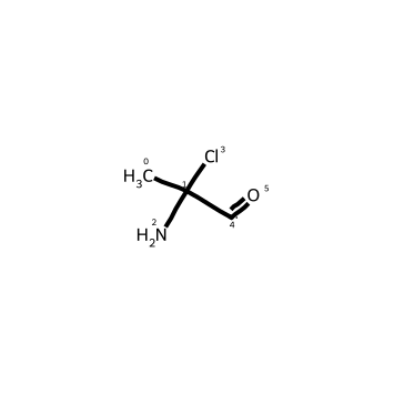 CC(N)(Cl)[C]=O